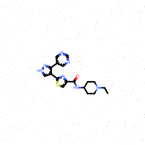 CCN1CCC(NC(=O)c2csc(-c3c[nH]nc3-c3cncnc3)n2)CC1